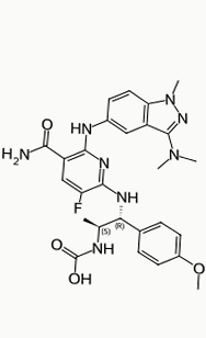 COc1ccc([C@@H](Nc2nc(Nc3ccc4c(c3)c(N(C)C)nn4C)c(C(N)=O)cc2F)[C@H](C)NC(=O)O)cc1